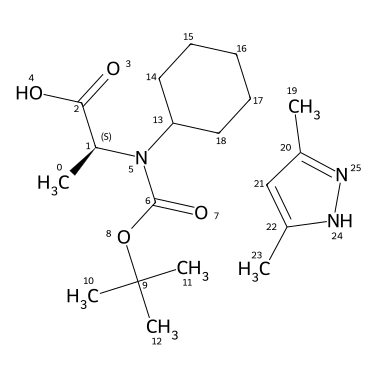 C[C@@H](C(=O)O)N(C(=O)OC(C)(C)C)C1CCCCC1.Cc1cc(C)[nH]n1